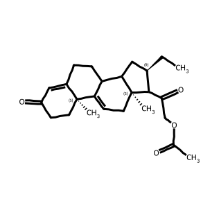 CC[C@@H]1CC2C3CCC4=CC(=O)CC[C@]4(C)C3=CC[C@]2(C)C1C(=O)COC(C)=O